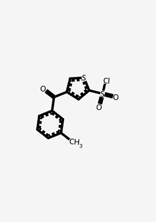 Cc1cccc(C(=O)c2csc(S(=O)(=O)Cl)c2)c1